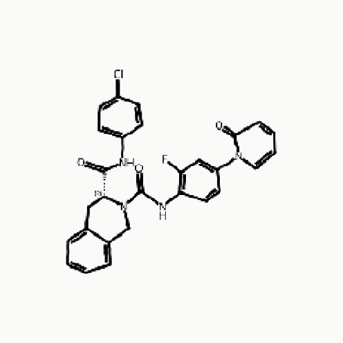 O=C(Nc1ccc(Cl)cc1)[C@H]1Cc2ccccc2CN1C(=O)Nc1ccc(-n2ccccc2=O)cc1F